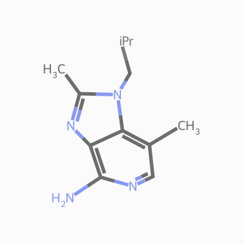 Cc1cnc(N)c2nc(C)n(CC(C)C)c12